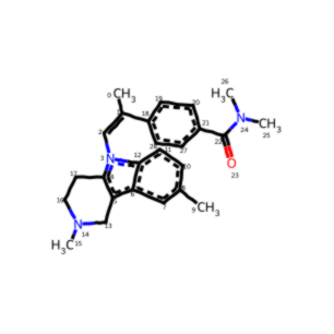 C/C(=C/n1c2c(c3cc(C)ccc31)CN(C)CC2)c1ccc(C(=O)N(C)C)cc1